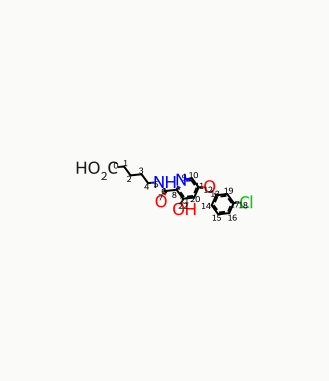 O=C(O)CCCCNC(=O)c1ncc(Oc2cccc(Cl)c2)cc1O